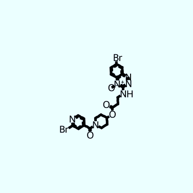 O=C(CCNc1nnc2cc(Br)ccc2[n+]1[O-])OC1CCN(C(=O)c2ccnc(Br)c2)CC1